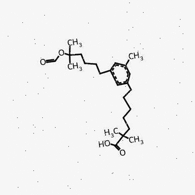 Cc1cc(CCCCCC(C)(C)C(=O)O)cc(CCCCC(C)(C)OC=O)c1